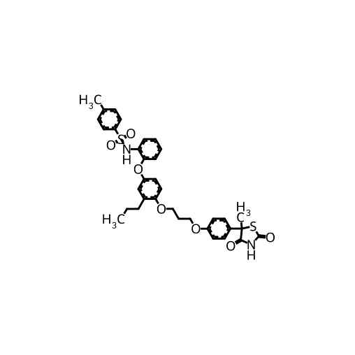 CCCc1cc(Oc2ccccc2NS(=O)(=O)c2ccc(C)cc2)ccc1OCCCOc1ccc(C2(C)SC(=O)NC2=O)cc1